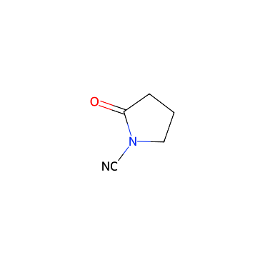 N#CN1CCCC1=O